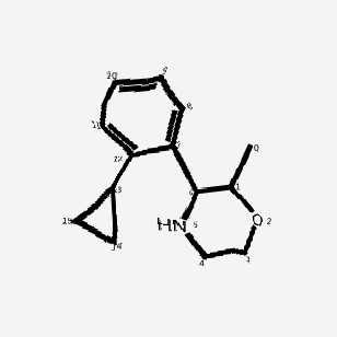 CC1OCCNC1c1ccccc1C1CC1